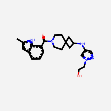 Cc1cc2cccc(C(=O)N3CCC4(CC3)CC(Nc3cnn(CCO)c3)C4)c2[nH]1